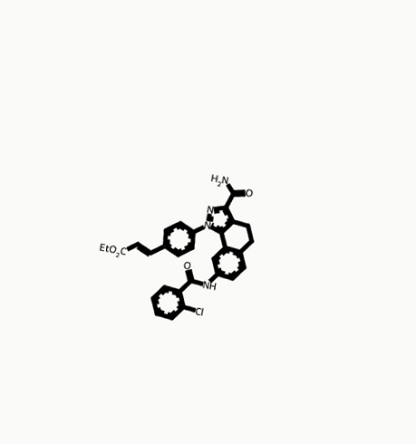 CCOC(=O)/C=C/c1ccc(-n2nc(C(N)=O)c3c2-c2cc(NC(=O)c4ccccc4Cl)ccc2CC3)cc1